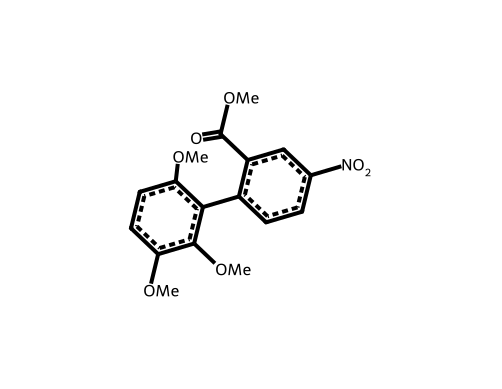 COC(=O)c1cc([N+](=O)[O-])ccc1-c1c(OC)ccc(OC)c1OC